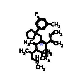 C=NC(=C)/C(C#N)=C(\CC1(c2cc(C)cc(F)c2)CCCC1)C(=C)N(C(C)C)C(C)CNC